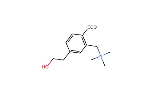 C[N+](C)(C)Cc1cc(CCO)c[c]c1C(=O)[O-]